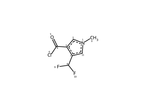 Cn1cc(C(=O)Cl)c(C(F)F)c1